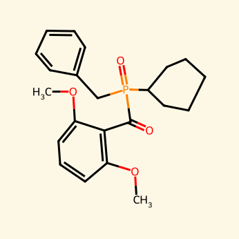 COc1cccc(OC)c1C(=O)P(=O)(Cc1ccccc1)C1CCCCC1